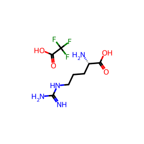 N=C(N)NCCC[C@H](N)C(=O)O.O=C(O)C(F)(F)F